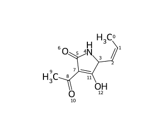 C/C=C\C1NC(=O)C(C(C)=O)=C1O